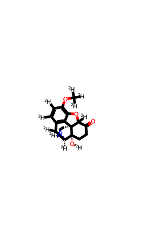 [2H]O[C@@]12CCC(=O)C3([2H])Oc4c(OC([2H])([2H])[2H])c([2H])c([2H])c5c4[C@@]31CCN(C)[C@]2([2H])C5([2H])[2H]